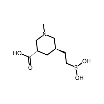 CN1C[C@@H](CCB(O)O)C[C@H](C(=O)O)C1